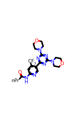 CCCC(=O)Nc1cc(C(F)(F)F)c(-c2nc(N3CCOCC3)nc(N3CCOCC3)n2)cn1